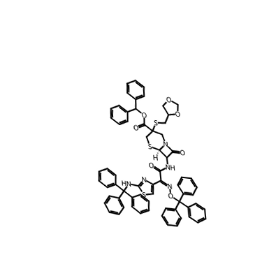 O=C(NC1C(=O)N2CC(SCC3COCO3)(C(=O)OC(c3ccccc3)c3ccccc3)CS[C@H]12)C(=NOC(c1ccccc1)(c1ccccc1)c1ccccc1)c1csc(NC(c2ccccc2)(c2ccccc2)c2ccccc2)n1